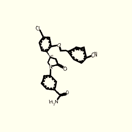 N#Cc1ccc(COc2cc(Cl)ccc2[C@H]2CC(=O)N(c3cccc(C(N)=O)c3)C2)cc1